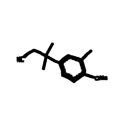 COc1ccc(C(C)(C)CC#N)cc1C